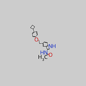 CC(=O)Nc1c[nH]c2ccc(CCOc3ccc(C4CCC4)cc3)cc12